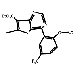 CCOC(=O)c1c(C)[nH]c2c(-c3cc(C(F)(F)F)ccc3OCC)ncnc12